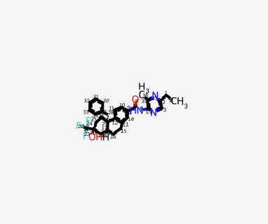 CCc1cnc(NC(=O)c2ccc3c(c2)CC[C@@H]2C[C@@](O)(C(F)(F)F)CC[C@@]32Cc2ccccc2)c(C)n1